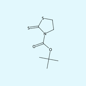 CC(C)(C)OC(=O)N1CCSC1=S